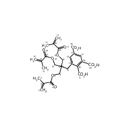 C=C(C)C(=O)OCC(COC(=O)C(=C)C)(COC(=O)C(=C)C)Cc1cc(C(=O)O)cc(C(=O)O)c1C(=O)O